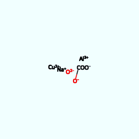 O=C([O-])[O-].[Al+3].[Cu+2].[Na+].[O-2]